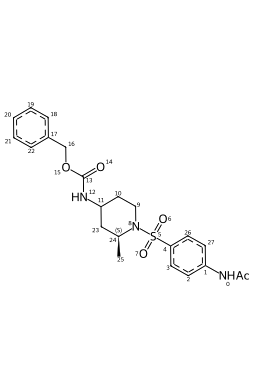 CC(=O)Nc1ccc(S(=O)(=O)N2CCC(NC(=O)OCc3ccccc3)C[C@@H]2C)cc1